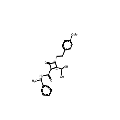 COc1ccc(CC[C@H]2C(=O)N(C(=O)N[C@H](C)c3ccccc3)[C@@H]2C(O)O)cc1